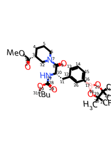 COC(=O)[C@@H]1CCCN(C(=O)[C@H](Cc2cccc(B3OC(C)(C)C(C)(C)O3)c2)NC(=O)OC(C)(C)C)C1